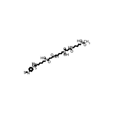 CC(=O)N(O)CCCCCNC(=O)CCC(=O)N(O)CCCCCNC(=O)CCC(=O)N(O)CCCCCNC(=S)Nc1ccc(N=C=S)cc1